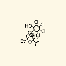 C=C(C)C(=O)OC(CC)O[SiH3].Oc1c(Cl)c(Cl)c(Cl)c(Cl)c1Cl